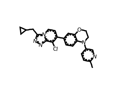 Cc1ccc(N2CCOc3cc(-c4ccn5c(CC6CC6)nnc5c4Cl)ccc32)cn1